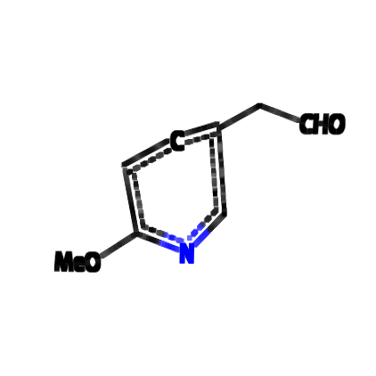 COc1ccc(CC=O)cn1